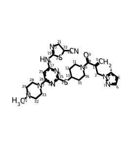 C=C(Cn1cccn1)C(=O)N1CCC(Sc2nc(NC3=NCC(C#N)S3)cc(N3CCN(C)CC3)n2)CC1